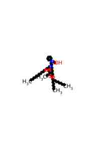 CCCCCCCCCCCCOCC(CN(CCCCCC(=O)OCC(CCCCCC)CCCCCCCC)CCN(CCO)C1CCCCC1)OCCCCCC